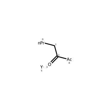 CCCCC(=O)C(C)=O.[Y]